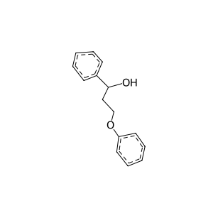 OC(CCOc1ccccc1)c1ccccc1